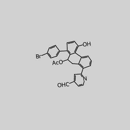 CC(=O)OC1Cc2c(-c3cc(C=O)ccn3)cccc2-c2c(O)ccc(-c3ccc(Br)cc3)c21